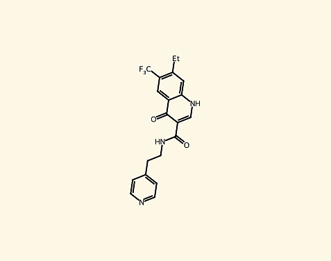 CCc1cc2[nH]cc(C(=O)NCCc3ccncc3)c(=O)c2cc1C(F)(F)F